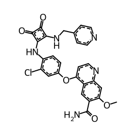 COc1cc2nccc(Oc3ccc(Nc4c(NCc5ccncc5)c(=O)c4=O)c(Cl)c3)c2cc1C(N)=O